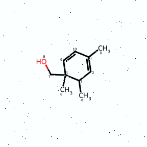 CC1=CC(C)C(C)(CO)C=C1